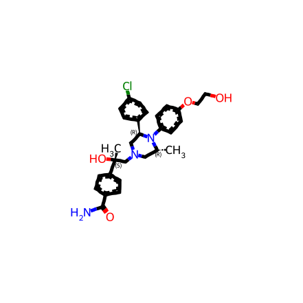 C[C@@H]1CN(C[C@@](C)(O)c2ccc(C(N)=O)cc2)C[C@@H](c2ccc(Cl)cc2)N1c1ccc(OCCO)cc1